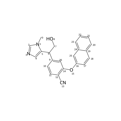 Cn1cncc1C(CO)c1ccc(C#N)c(Oc2ccc3ccccc3c2)c1